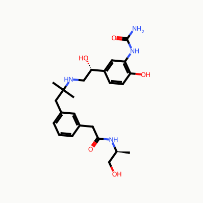 C[C@@H](CO)NC(=O)Cc1cccc(CC(C)(C)NC[C@H](O)c2ccc(O)c(NC(N)=O)c2)c1